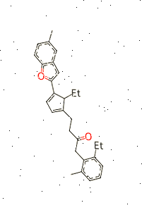 CCc1cccc(C)c1CC(=O)CCC1=CC=C(c2cc3cc(C)ccc3o2)C1CC